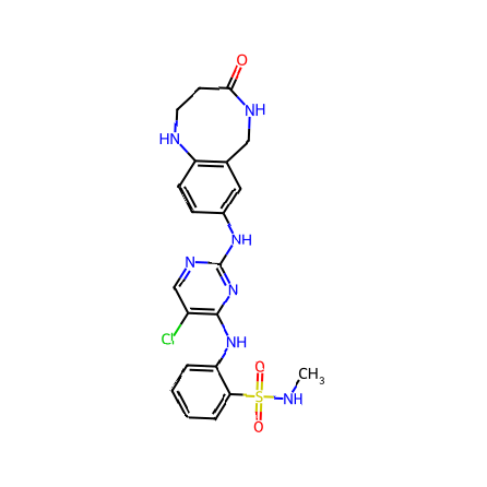 CNS(=O)(=O)c1ccccc1Nc1nc(Nc2ccc3c(c2)CNC(=O)CCN3)ncc1Cl